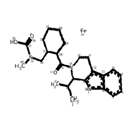 CC(C)C1c2[nH]c3ccccc3c2CCN1C(=O)C1CCCCC1CN(C)C(=O)O.[Fe]